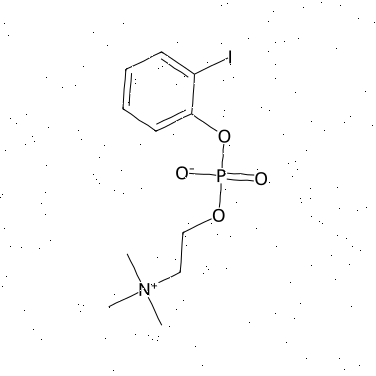 C[N+](C)(C)CCOP(=O)([O-])Oc1ccccc1I